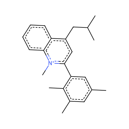 Cc1cc(C)c(C)c(-c2cc(CC(C)C)c3ccccc3[n+]2C)c1